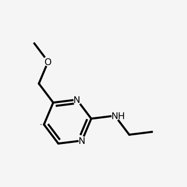 CCNc1nc[c]c(COC)n1